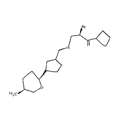 CC(=O)[C@H](CSCC1CCC([C@@H]2CC[C@H](C)CO2)C1)NC1CCC1